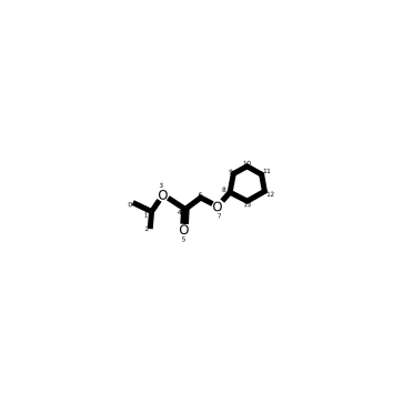 CC(C)OC(=O)COC1CCCCC1